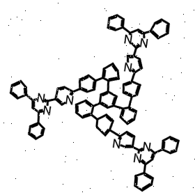 C1=CC(c2ccccc2-c2cc(-c3ccccc3-c3ccc(-c4ccc(-c5nc(-c6ccccc6)cc(-c6ccccc6)n5)cn4)cc3)cc(-c3ccccc3-c3ccc(-c4ccc(-c5nc(-c6ccccc6)cc(-c6ccccc6)n5)cn4)cc3)c2)CC=C1c1ccc(-c2nc(-c3ccccc3)cc(-c3ccccc3)n2)cn1